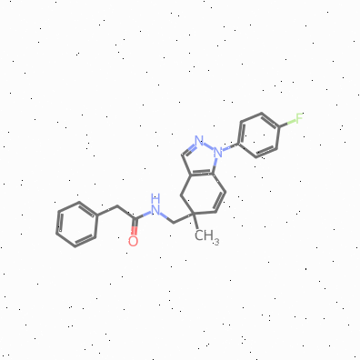 CC1(CNC(=O)Cc2ccccc2)C=Cc2c(cnn2-c2ccc(F)cc2)C1